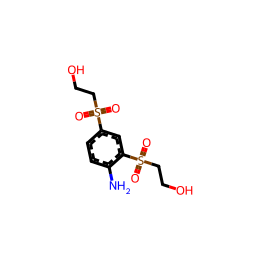 Nc1ccc(S(=O)(=O)CCO)cc1S(=O)(=O)CCO